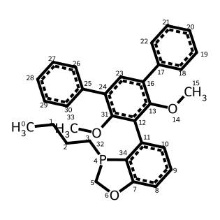 CCCCP1COc2cccc(-c3c(OC)c(-c4ccccc4)cc(-c4ccccc4)c3OC)c21